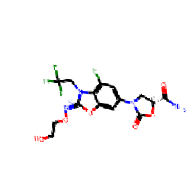 NC(=O)[C@H]1CN(c2cc(F)c3c(c2)o/c(=N\OCCO)n3CC(F)(F)F)C(=O)O1